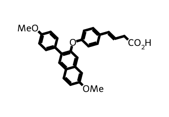 COc1ccc(-c2cc3ccc(OC)cc3cc2Oc2ccc(C=CCC(=O)O)cc2)cc1